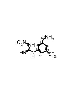 N=C(Nc1cc(CN)cc(C(F)(F)F)c1)N[N+](=O)[O-]